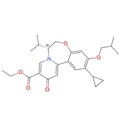 CCOC(=O)c1cn2c(cc1=O)-c1cc(C3CC3)c(OCC(C)C)cc1OC[C@H]2C(C)C